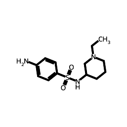 CCN1CCCC(NS(=O)(=O)c2ccc(N)cc2)C1